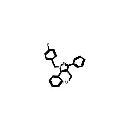 O=C(O)Cc1c(-c2ccccc2)nn(Cc2ccc(F)cc2)c1-c1ccccc1